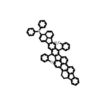 Cc1ccccc1-c1c2c(c(-c3ccccc3C)c3cc4c(cc13)C1=CC=C(N(c3ccccc3)c3ccccc3)C3C=CC=C4C13)-c1ccc3c4ccc5c6c4c(c4ccc-2c1c43)CCC=6c1ccccc1-5